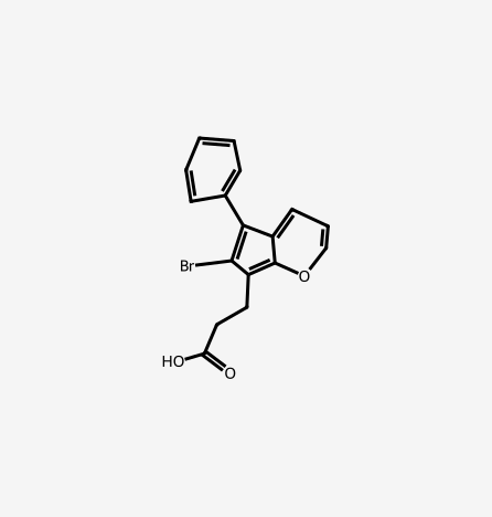 O=C(O)CCc1c2occcc-2c(-c2ccccc2)c1Br